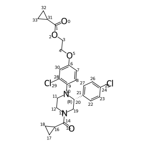 O=C(OCCOc1ccc(N2CCN(C(=O)C3CC3)C[C@H]2c2ccc(Cl)cc2)c(Cl)c1)C1CC1